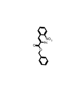 CC(=O)C(=Cc1ccccc1[N+](=O)[O-])C(=O)OCc1ccccc1